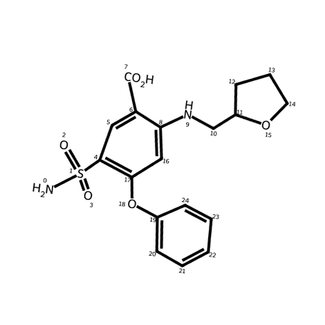 NS(=O)(=O)c1cc(C(=O)O)c(NCC2CCCO2)cc1Oc1ccccc1